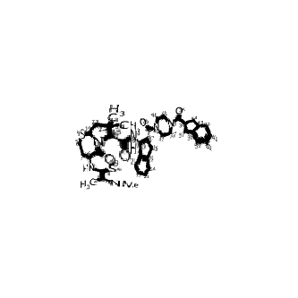 CN[C@@H](C)C(=S)N[C@H]1CCSC2CC(C)(C)[C@@H](C(=O)N[C@H]3c4ccccc4C[C@H]3C(=O)N3CCN(C(=O)C4Cc5ccccc5C4)CC3)N2C1=O